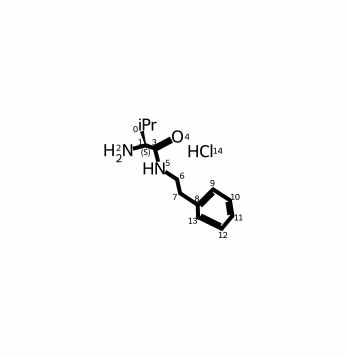 CC(C)[C@H](N)C(=O)NCCc1ccccc1.Cl